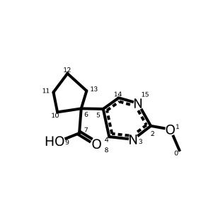 COc1ncc(C2(C(=O)O)CCCC2)cn1